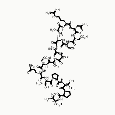 CC[C@H](C)[C@H](NC(=O)[C@@H](NC(=O)[C@H](CO)NC(=O)[C@H](CC(=O)O)NC(=O)[C@H](CC(N)=O)NC(=O)[C@H](CCCNC(=N)N)NC(=O)[C@H](C)N)C(C)C)C(=O)N[C@H](C(=O)N[C@@H](C)C(=O)N[C@@H](CC(=O)O)C(=O)N[C@@H](CCC(N)=O)C(=O)N[C@H](C(=O)N1CCC[C@H]1C(=O)N[C@H](C(=O)N1CCC[C@H]1C(=O)N[C@H](C(=O)O)[C@@H](C)O)[C@@H](C)O)[C@@H](C)O)C(C)C